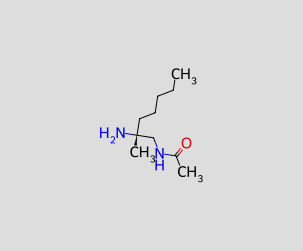 CCCCC[C@@](C)(N)CNC(C)=O